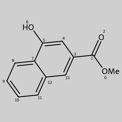 COC(=O)c1cc(O)c2ccccc2c1